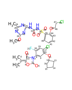 CC(C)=C1OC(=O)N(c2cc(OC3CCCC3)c(Cl)cc2F)C1=O.COc1nc(C)nc(NC(=O)NS(=O)(=O)c2ccccc2OCCCl)n1